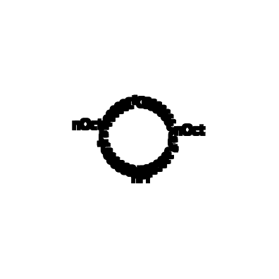 C=C1CCCCCCCN(CCC)CCCCCCCC(=C)CCC(CCCCCCCC)CCCCCCC(C)CCCCCCCCC(CCCCCCCC)CC1